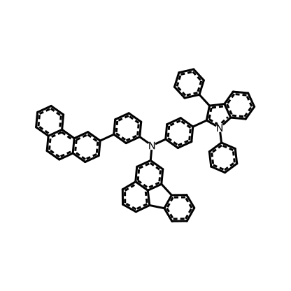 c1ccc(-c2c(-c3ccc(N(c4cccc(-c5ccc6ccc7ccccc7c6c5)c4)c4cc5c6c(cccc6c4)-c4ccccc4-5)cc3)n(-c3ccccc3)c3ccccc23)cc1